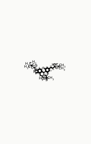 C[C@@H]1Cc2c(ccc3c2cnn3C(=O)OC(C)(C)C)[C@@H](c2c(F)cc(/C=C/C(=O)OC(C)(C)C)cc2F)N1CC(C)(C)F